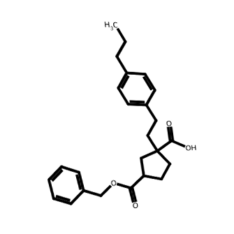 CCCc1ccc(CCC2(C(=O)O)CCC(C(=O)OCc3ccccc3)C2)cc1